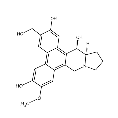 COc1cc2c3c(c4cc(O)c(CO)cc4c2cc1O)[C@@H](O)[C@H]1CCCN1C3